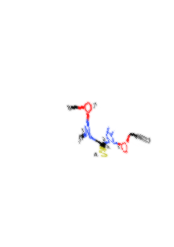 CONC(=S)N(C)OC